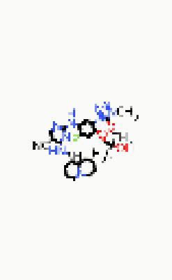 Cn1nnn(-c2cc(Nc3ncc(C#N)c(NC[C@@H]4CCCN5CCCC[C@H]45)n3)c(F)cc2OCC(C)(C)O)c1=O